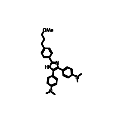 COCCCc1ccc(-c2nc(-c3ccc(N(C)C)cc3)c(-c3ccc(N(C)C)cc3)[nH]2)cc1